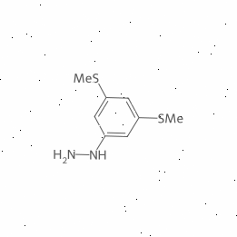 CSc1cc(NN)cc(SC)c1